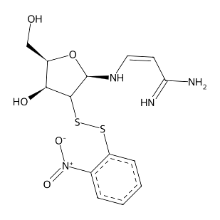 N=C(N)/C=C\N[C@@H]1O[C@H](CO)[C@H](O)C1SSc1ccccc1[N+](=O)[O-]